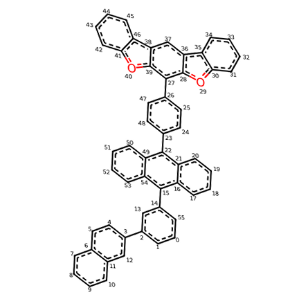 c1cc(-c2ccc3ccccc3c2)cc(-c2c3ccccc3c(-c3ccc(-c4c5oc6ccccc6c5cc5c4oc4ccccc45)cc3)c3ccccc23)c1